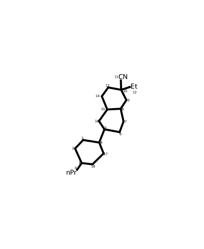 CCCC1CCC(C2CCC3CC(C#N)(CC)CCC3C2)CC1